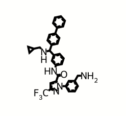 NCc1cccc(-n2nc(C(F)(F)F)cc2C(=O)Nc2cccc(C(NCC3CC3)c3ccc(-c4ccccc4)cc3)c2)c1